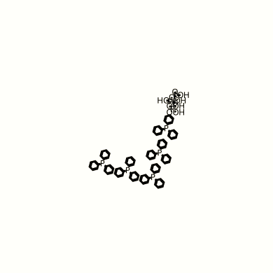 O=P(O)(O)OP(=O)(O)OP(=O)(O)O.c1ccc(P(c2ccccc2)c2ccccc2)cc1.c1ccc(P(c2ccccc2)c2ccccc2)cc1.c1ccc(P(c2ccccc2)c2ccccc2)cc1.c1ccc(P(c2ccccc2)c2ccccc2)cc1.c1ccc(P(c2ccccc2)c2ccccc2)cc1